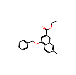 CCOC(=O)c1cc(OCc2ccccc2)c2ccc(C)cc2c1